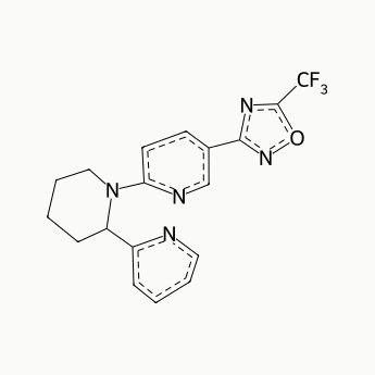 FC(F)(F)c1nc(-c2ccc(N3CCCCC3c3ccccn3)nc2)no1